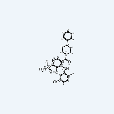 Cc1ccc(Cl)cc1Nc1c(C(=O)N2CCC(c3ccccc3)CC2)cnc(S(N)(=O)=O)c1Cl